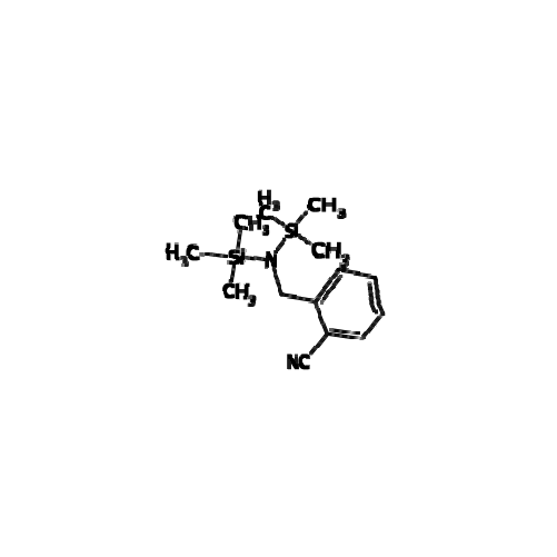 C[Si](C)(C)N(Cc1ccccc1C#N)[Si](C)(C)C